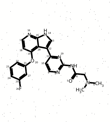 CN(C)CC(=O)Nc1nccc(-c2c[nH]c3nccc(Oc4cccc(F)c4)c23)n1